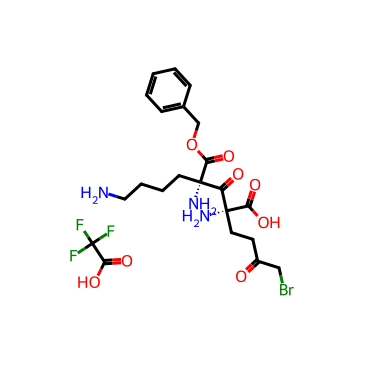 NCCCC[C@@](N)(C(=O)OCc1ccccc1)C(=O)[C@](N)(CCC(=O)CBr)C(=O)O.O=C(O)C(F)(F)F